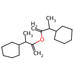 C=C(OC(=C)C(C)C1CCCCC1)C(C)C1CCCCC1